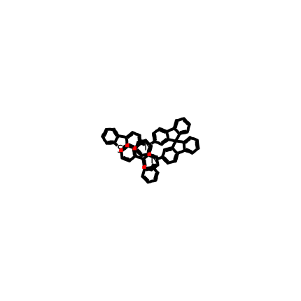 c1ccc(-c2ccccc2N(c2ccc3c(c2)C2(c4ccccc4-c4ccc(N(c5ccccc5)c5ccccc5)cc42)c2ccccc2-3)c2ccc3c(c2)sc2ccccc23)cc1